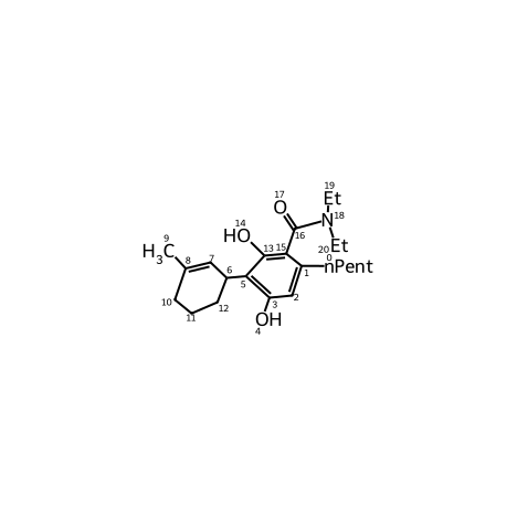 CCCCCc1cc(O)c(C2C=C(C)CCC2)c(O)c1C(=O)N(CC)CC